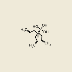 C=CC[SeH](CC=C)(CC=C)=P(O)(O)O